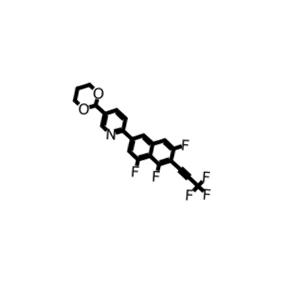 Fc1cc2cc(-c3ccc(C4OCCCO4)cn3)cc(F)c2c(F)c1C#CC(F)(F)F